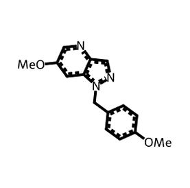 COc1ccc(Cn2ncc3ncc(OC)cc32)cc1